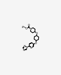 CC(C)OC(=O)N1CCC(OC2CCC(Oc3ccc(-n4cncn4)nc3)CC2)CC1